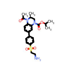 CC(=O)N1c2ccc(-c3ccc(S(=O)(=O)CCN)cc3)cc2N(C(=O)OC(C)C)C[C@@H]1C